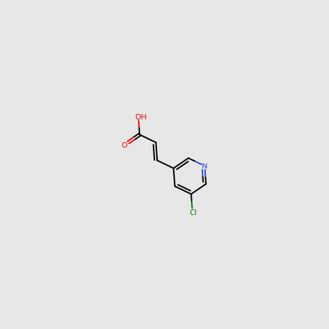 O=C(O)C=Cc1cncc(Cl)c1